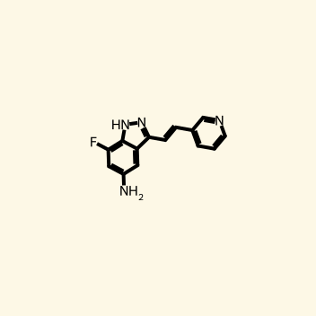 Nc1cc(F)c2[nH]nc(C=Cc3cccnc3)c2c1